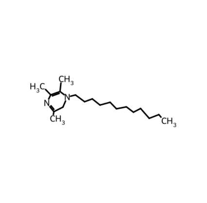 CCCCCCCCCCCCN1CC(C)=NC(C)=C1C